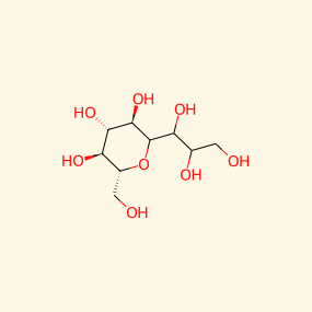 OCC(O)C(O)C1O[C@H](CO)[C@@H](O)[C@H](O)[C@H]1O